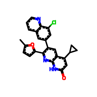 Cc1ccc(-c2nc3[nH]c(=O)cc(C4CC4)c3cc2-c2cc(Cl)c3ncccc3c2)o1